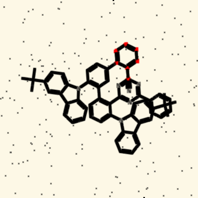 CC(C)(C)c1ccc2c(c1)c1ccccc1n2-c1ccc(-c2ccccc2C#N)cc1-c1cccc(-n2c3ccccc3c3cc(C(C)(C)C)ccc32)c1-c1nc(-c2ccccc2)nc(-c2ccccc2)n1